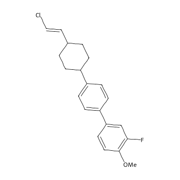 COc1ccc(-c2ccc(C3CCC(/C=C/Cl)CC3)cc2)cc1F